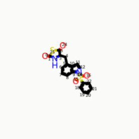 O=C1NC(Cc2cccc3c2ccn3S(=O)(=O)c2ccccc2)C(=O)S1